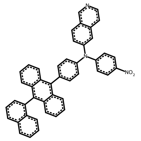 O=[N+]([O-])c1ccc(N(c2ccc(-c3c4ccccc4c(-c4cccc5ccccc45)c4ccccc34)cc2)c2ccc3cnccc3c2)cc1